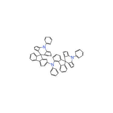 c1ccc(N(c2ccc3c(c2)C2(c4ccccc4-3)c3ccccc3N(c3ccccc3)c3ccccc32)c2cccc3c2-c2ccccc2C32c3ccccc3N(c3ccccc3)c3ccccc32)cc1